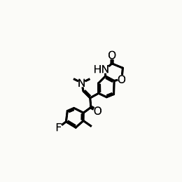 Cc1cc(F)ccc1C(=O)C(=CN(C)C)c1ccc2c(c1)NC(=O)CO2